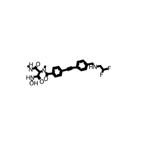 CNC(=O)C(C(=O)NO)N(C)C(=O)c1ccc(C#Cc2ccc(CNCC(F)F)cc2)cc1